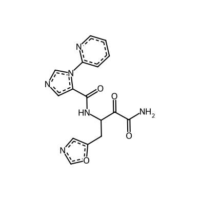 NC(=O)C(=O)C(Cc1cnco1)NC(=O)c1cncn1-c1ccccn1